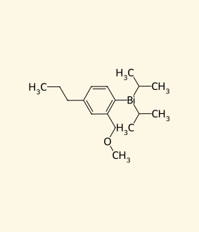 CCCc1cc[c]([Bi]([CH](C)C)[CH](C)C)c(COC)c1